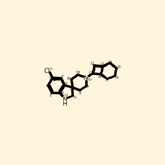 Clc1ccc2c(c1)C1(CCN(C3CC4CCCCC43)CC1)CN2